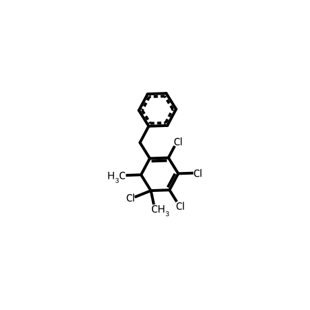 CC1C(Cc2ccccc2)=C(Cl)C(Cl)=C(Cl)C1(C)Cl